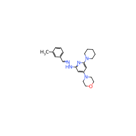 Cc1cccc(/C=N/Nc2cc(N3CCOCC3)cc(N3CCCCC3)n2)c1